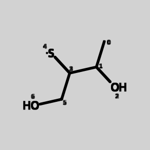 CC(O)C([S])CO